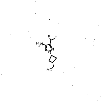 Nc1cn([C@H]2C[C@H](CO)C2)nc1C(F)F